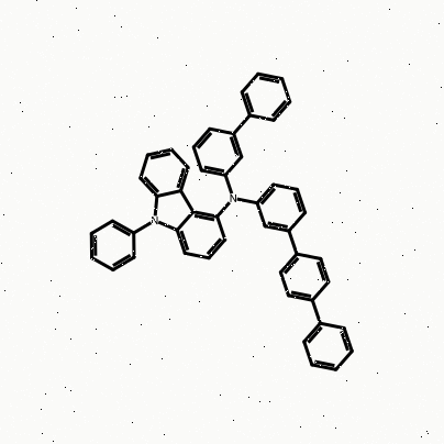 c1ccc(-c2ccc(-c3cccc(N(c4cccc(-c5ccccc5)c4)c4cccc5c4c4ccccc4n5-c4ccccc4)c3)cc2)cc1